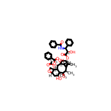 CC(=O)O[C@@]12CO[C@@H]1C[C@H](O)[C@@]1(C)C(=O)[C@H](C)C3=C(C)[C@@H](OC(=O)[C@H](O)C(NC(=O)c4ccccc4)c4ccccc4)C[C@@](O)([C@@H](OC(=O)c4ccccc4)[C@H]21)C3(C)C